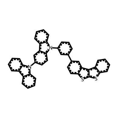 c1cc(-c2ccc3sc4sc5ccccc5c4c3c2)cc(-n2c3ccccc3c3cc(-n4c5ccccc5c5ccccc54)ccc32)c1